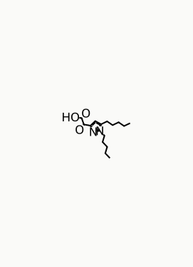 CCCCCc1cc(C(=O)C(=O)O)nn1CCCCC